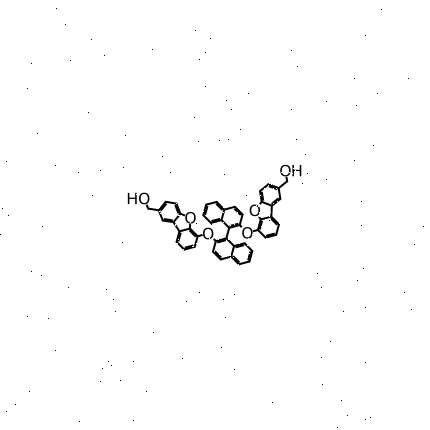 OCc1ccc2oc3c(Oc4ccc5ccccc5c4-c4c(Oc5cccc6c5oc5ccc(CO)cc56)ccc5ccccc45)cccc3c2c1